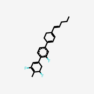 CCC/C=C/C1=CC=C(c2ccc(C3=CC(F)=C(C)C(F)C3)c(F)c2)CC1